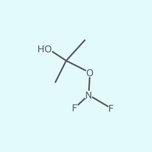 CC(C)(O)ON(F)F